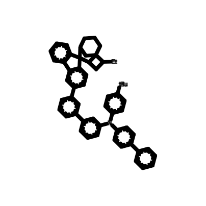 CCC1CC2C13CCCC(C3)C21c2ccccc2-c2cc(-c3cccc(-c4cccc(N(c5ccc(-c6ccccc6)cc5)c5ccc(C(C)(C)C)cc5)c4)c3)ccc21